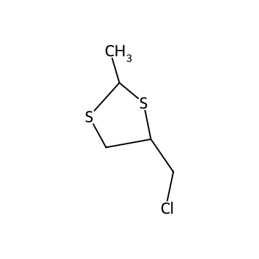 CC1SCC(CCl)S1